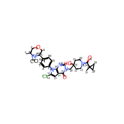 C[C@H]1COC[C@@H](c2ccc(-n3c(Cl)cc4c(=O)n(CC5(O)CCN(C(=O)C6(C)CC6)CC5)cnc43)cc2)N1C(=O)O